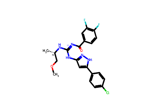 COC[C@H](C)N/C(=N/C(=O)c1ccc(F)c(F)c1)Nc1cc(-c2ccc(Cl)cc2)[nH]n1